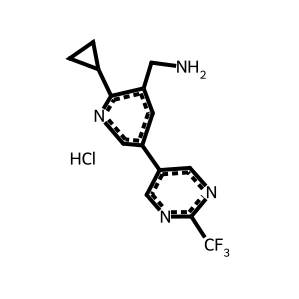 Cl.NCc1cc(-c2cnc(C(F)(F)F)nc2)cnc1C1CC1